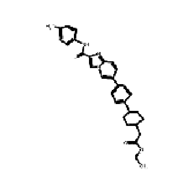 CCOC(=O)CC1CCC(c2ccc(-c3ccc4nc(C(=O)Nc5ccc(C)cc5)cn4c3)cc2)CC1